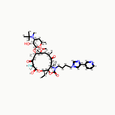 CC[C@H]1OC(=O)[C@@](C)(F)C(=O)[C@H](C)[C@@H](O[C@@H]2O[C@H](C)C[C@H](N(C)C(C)(C)C)[C@H]2O)[C@](C)(OC)C[C@@H](C)C(=O)[C@H](C)[C@H]2N(CCCCn3cnc(-c4cccnc4)c3)C(=O)O[C@]12C